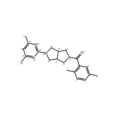 Cc1ccc(C)c(C(=O)N2CC3CN(c4nc(C)cc(C)n4)CC3C2)c1